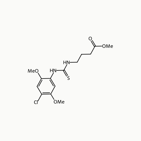 COC(=O)CCCNC(=S)Nc1cc(OC)c(Cl)cc1OC